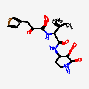 CC(C)C(NC(=O)C(=O)Cc1ccsc1)C(=O)NC1CCNC(=O)C1=O